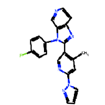 Cc1cc(-n2cccn2)ncc1-c1nc2ccncc2n1-c1ccc(F)cc1